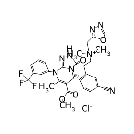 COC(=O)C1=C(C)N(c2cccc(C(F)(F)F)c2)c2n[nH]c(=O)n2[C@@H]1c1ccc(C#N)cc1CC[N+](C)(C)Cc1nnco1.[Cl-]